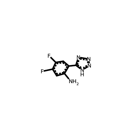 Nc1cc(F)c(F)cc1-c1nnn[nH]1